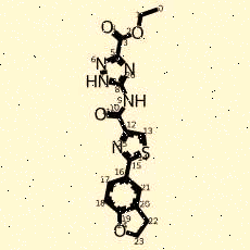 CCOC(=O)c1n[nH]c(NC(=O)c2csc(-c3ccc4c(c3)CCO4)n2)n1